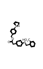 O=C(Cc1ccc(SCc2ccccc2C(=O)O)cc1)OCc1ccc(-n2cccn2)cc1